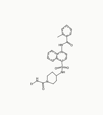 CCNC(=O)N1CCC(NS(=O)(=O)c2ccc(NC(=O)c3ccccc3C)c3ccccc23)CC1